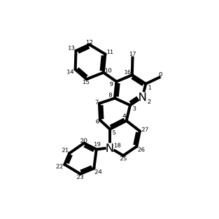 Cc1nc2c3c(ccc2c(-c2ccccc2)c1C)N(c1ccccc1)CC=C3